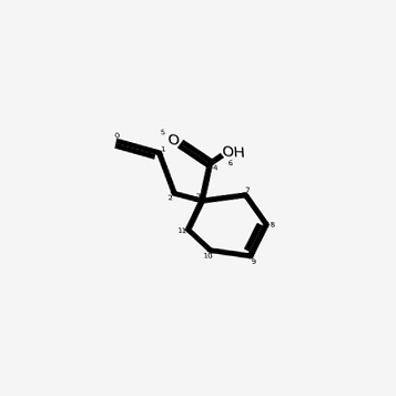 C=CCC1(C(=O)O)CC=CCC1